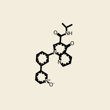 CC(C)NC(=O)c1cn(-c2cccc(-c3ccc[n+]([O-])c3)c2)c2ncccc2c1=O